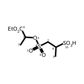 CCOC(=O)C(C)OS(=O)(=O)CC(C)S(=O)(=O)O